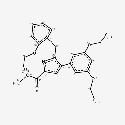 CCOc1cc(OCC)cc(-c2cc(C(=O)OC)nn2Cc2ccccc2OCC)c1